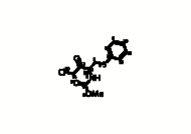 COC(=O)N[C@H](CSc1ccccc1)C(=O)CCl